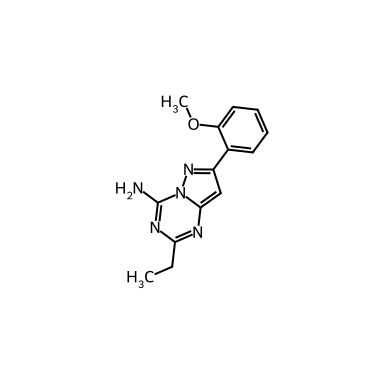 CCc1nc(N)n2nc(-c3ccccc3OC)cc2n1